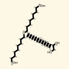 C=C.C=C.C=C.C=C.C=C.C=C.C=C.C=C.C=C.C=C.CCCCCCCCCCCCCCCCCCOCCCCCCCCCCCCCCCCCC.OCCO